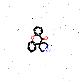 O=C1c2ccccc2Oc2ccccc2C12CCNCC2